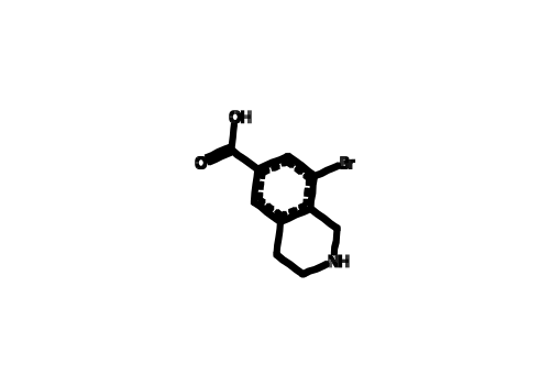 O=C(O)c1cc(Br)c2c(c1)CCNC2